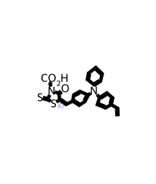 C=Cc1ccc(N(c2ccccc2)c2ccc(/C=C3/SC(=S)N(CC(=O)O)C3=O)cc2)cc1